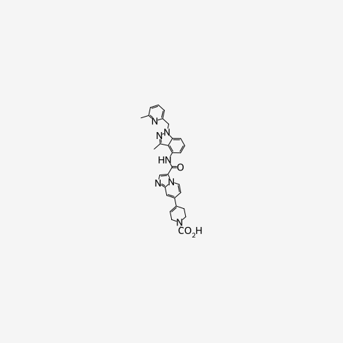 Cc1cccc(Cn2nc(C)c3c(NC(=O)c4cnc5cc(C6=CCN(C(=O)O)CC6)ccn45)cccc32)n1